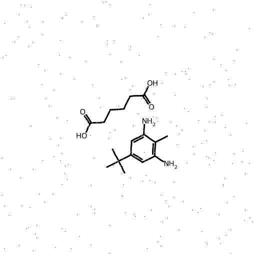 Cc1c(N)cc(C(C)(C)C)cc1N.O=C(O)CCCCC(=O)O